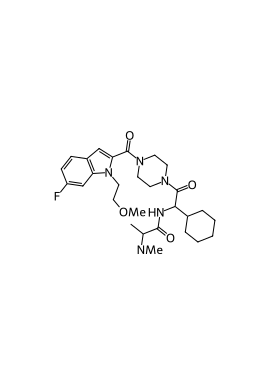 CNC(C)C(=O)NC(C(=O)N1CCN(C(=O)c2cc3ccc(F)cc3n2CCOC)CC1)C1CCCCC1